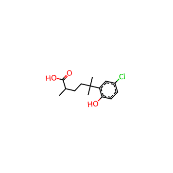 CC(CCC(C)(C)c1cc(Cl)ccc1O)C(=O)O